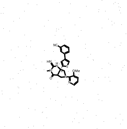 COc1cccnc1N1CC2C(=O)N(C)C(=N)N[C@@]2(c2cc(-c3cccc(C#N)c3)cs2)C1